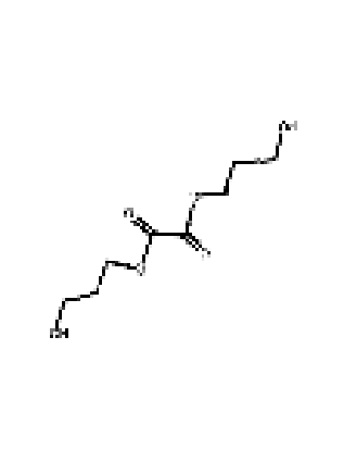 O=C(OCCCO)C(=O)OCCCO